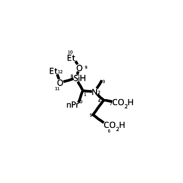 CCCC(N(C)C(CC(=O)O)C(=O)O)[SiH](OCC)OCC